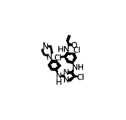 C=CC(=O)Nc1c(Cl)cc(Nc2nc(Nc3ccc(N4CCN(C)CC4)cc3)ncc2Cl)cc1Cl